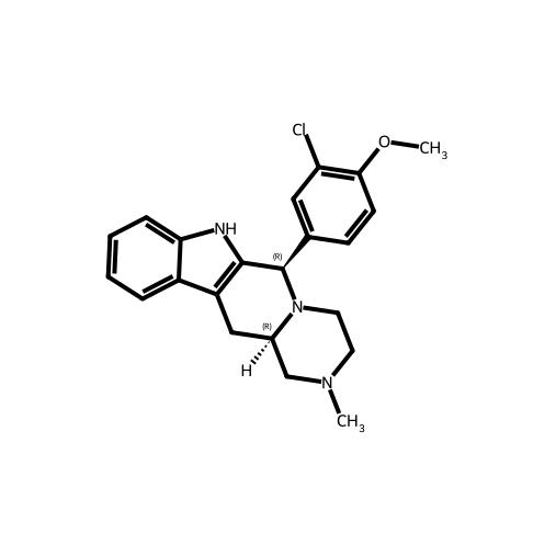 COc1ccc([C@@H]2c3[nH]c4ccccc4c3C[C@@H]3CN(C)CCN32)cc1Cl